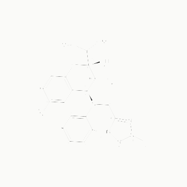 COC(OC)[C@@]1(C)Oc2ccc(N)cc2[C@H](N(Cc2nnn(C)n2)c2ccccc2O)[C@H]1O